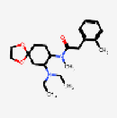 CCN(CC)C1CC2(CCC1N(C)C(=O)Cc1ccccc1C)OCCO2